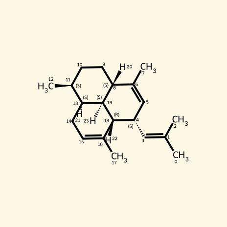 CC(C)=C[C@H]1C=C(C)[C@H]2CC[C@H](C)[C@@H]3CC=C(C)[C@@H]1[C@@H]32